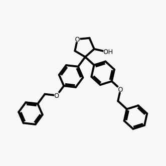 OC1COCC1(c1ccc(OCc2ccccc2)cc1)c1ccc(OCc2ccccc2)cc1